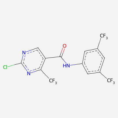 O=C(Nc1cc(C(F)(F)F)cc(C(F)(F)F)c1)c1cnc(Cl)nc1C(F)(F)F